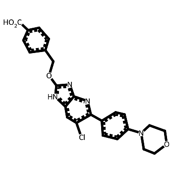 O=C(O)c1ccc(COc2nc3nc(-c4ccc(N5CCOCC5)cc4)c(Cl)cc3[nH]2)cc1